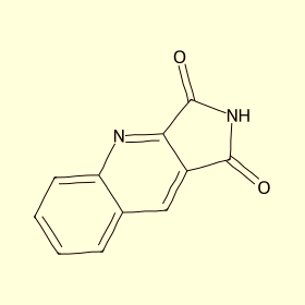 O=C1NC(=O)c2nc3ccccc3cc21